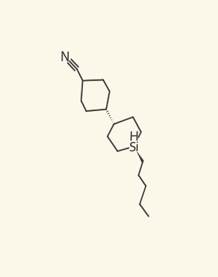 CCCCC[Si@H]1CC[C@H](C2CCC(C#N)CC2)CC1